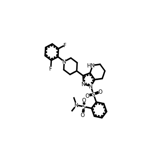 CN(C)S(=O)(=O)c1ccccc1S(=O)(=O)n1nc(C2CCN(c3c(F)cccc3F)CC2)c2c1CCCN2